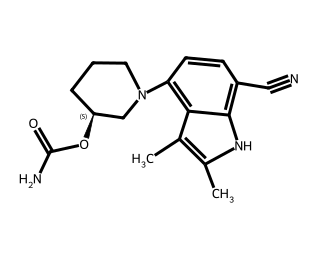 Cc1[nH]c2c(C#N)ccc(N3CCC[C@H](OC(N)=O)C3)c2c1C